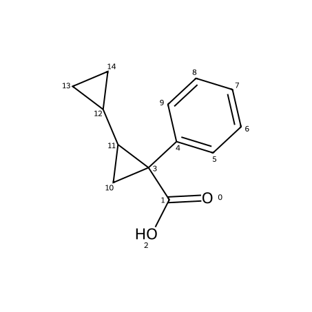 O=C(O)C1(c2ccccc2)CC1C1CC1